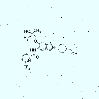 CC(C)(O)COc1cc2nn(C3CCC(CO)CC3)cc2cc1NC(=O)c1cccc(C(F)(F)F)n1